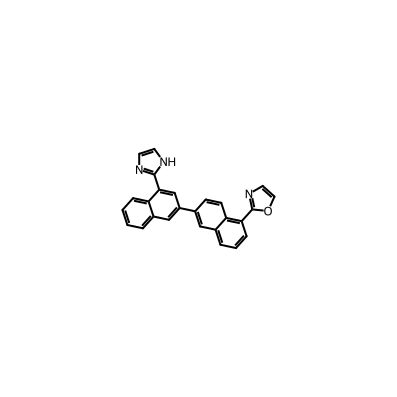 c1ccc2c(-c3ncc[nH]3)cc(-c3ccc4c(-c5ncco5)cccc4c3)cc2c1